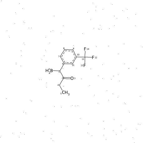 BC(C(=O)CC)c1cccc(C(F)(F)F)c1